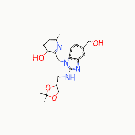 CC1=CCC(O)C(Cn2c(NCC3COC(C)(C)O3)nc3cc(CO)ccc32)=N1